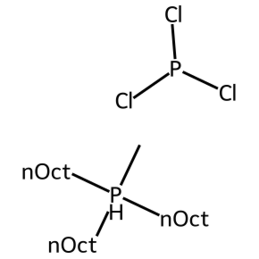 CCCCCCCC[PH](C)(CCCCCCCC)CCCCCCCC.ClP(Cl)Cl